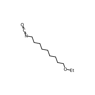 CCOCCCCCCCCCN=C=O